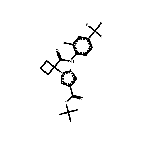 CC(C)(C)OC(=O)c1cnn(C2(C(=O)Nc3ccc(C(F)(F)F)cc3Cl)CCC2)c1